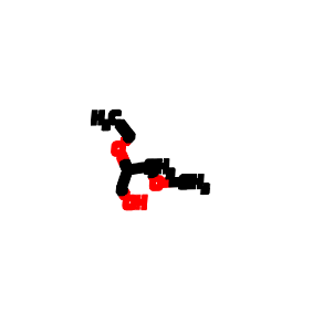 CCOC(CO)[SiH2]O[SiH3]